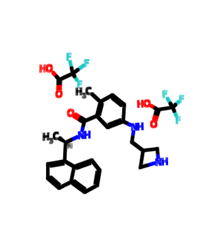 Cc1ccc(NCC2CNC2)cc1C(=O)N[C@H](C)c1cccc2ccccc12.O=C(O)C(F)(F)F.O=C(O)C(F)(F)F